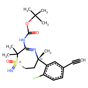 C#Cc1ccc(F)c([C@]2(C)CC[S@](=N)(=O)C(C)(C)C(NC(=O)OC(C)(C)C)=N2)c1